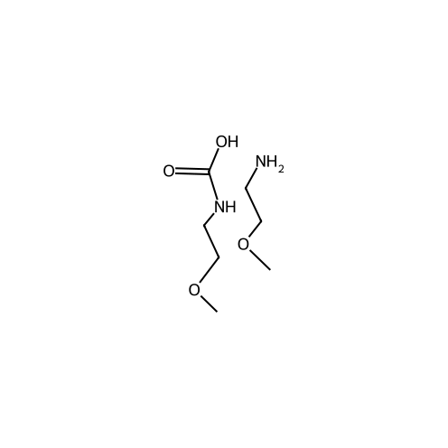 COCCN.COCCNC(=O)O